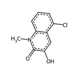 Cn1c(=O)c(O)cc2c(Cl)cccc21